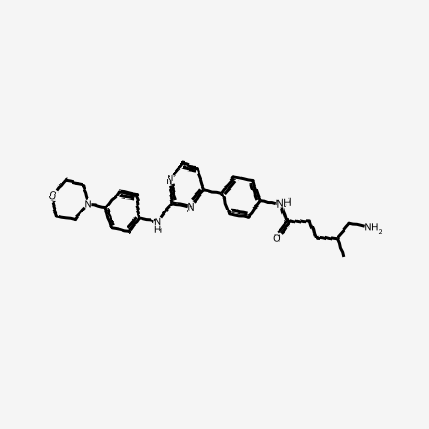 CC(CN)CCC(=O)Nc1ccc(-c2ccnc(Nc3ccc(N4CCOCC4)cc3)n2)cc1